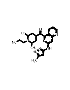 CCC1CC(C(=O)c2nc(Nc3cc(C)[nH]n3)cc3ncccc23)CC(C)N1CCC#N